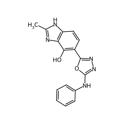 Cc1nc2c(O)c(-c3nnc(Nc4ccccc4)o3)ccc2[nH]1